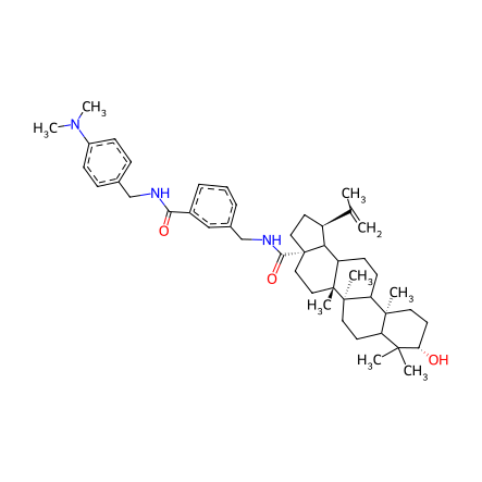 C=C(C)[C@@H]1CC[C@]2(C(=O)NCc3cccc(C(=O)NCc4ccc(N(C)C)cc4)c3)CC[C@]3(C)C(CCC4[C@@]5(C)CC[C@H](O)C(C)(C)C5CC[C@]43C)C12